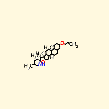 C=CCO[C@H]1CC[C@@]2(C)C(CC[C@@H]3C2CC[C@@]2(C)C3CC3O[C@@]4(CC[C@H](C)CN4)[C@@H](C)C32)C1